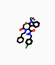 Cn1c2c(c3ccccc31)C(C(=O)NCc1ccc(F)cc1)N(CCC1=CCCCC1)C(=O)CS2